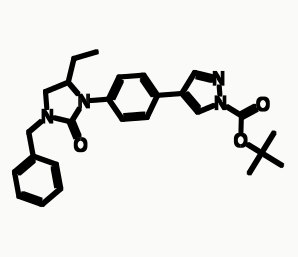 CCC1CN(Cc2ccccc2)C(=O)N1c1ccc(-c2cnn(C(=O)OC(C)(C)C)c2)cc1